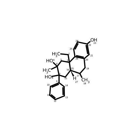 CCC12CC(C)(O)C(O)(c3ccccc3)C[C@H]1C(C)Cc1cc(O)ccc12